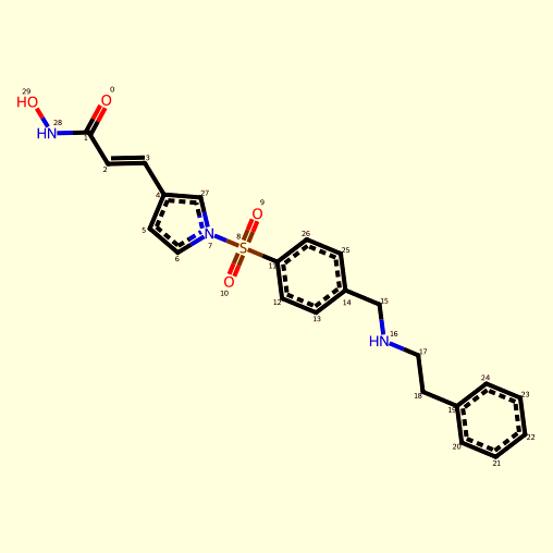 O=C(/C=C/c1ccn(S(=O)(=O)c2ccc(CNCCc3ccccc3)cc2)c1)NO